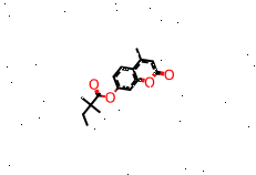 CCC(C)(C)C(=O)Oc1ccc2c(C)cc(=O)oc2c1